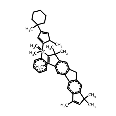 [CH2]=[Zr]([CH3])([C]1=CC(C2(C)CCCCC2)=CC1C)([C]1=C(C)c2cc3c(cc2C1(C)C)Cc1cc2c(cc1-3)C(C)=CC2(C)C)[c]1ccccc1